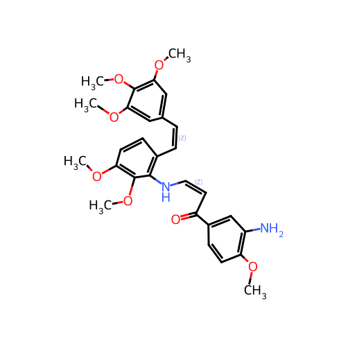 COc1ccc(C(=O)/C=C\Nc2c(/C=C\c3cc(OC)c(OC)c(OC)c3)ccc(OC)c2OC)cc1N